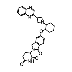 O=C1CCC(N2Cc3cc(OC4CCCCC4N4CC(c5cnc6ccccc6n5)C4)ccc3C2=O)C(=O)N1